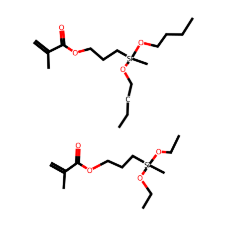 C=C(C)C(=O)OCCC[Si](C)(OCC)OCC.C=C(C)C(=O)OCCC[Si](C)(OCCCC)OCCCC